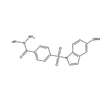 CCCN(N)C(=O)c1ccc(S(=O)(=O)n2ccc3cc(OC)ccc32)cc1